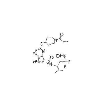 C=CC(=O)N1CCC(Oc2cnc3[nH]cc(C(=O)NC(C(C)C)[C@H](O)C(F)(F)F)c3n2)CC1